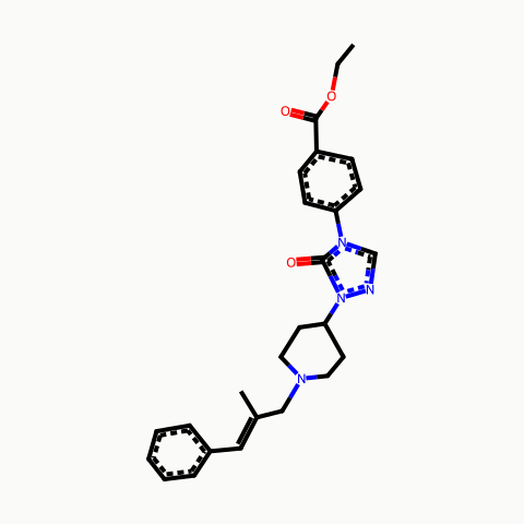 CCOC(=O)c1ccc(-n2cnn(C3CCN(C/C(C)=C/c4ccccc4)CC3)c2=O)cc1